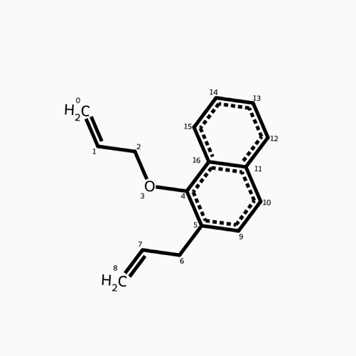 C=CCOc1c(CC=C)ccc2ccccc12